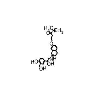 CN(C)C(=O)CCCOc1ccc2c(c1)C[C@@H](NC[C@@H](O)c1ccc(O)c(CO)c1)CC2